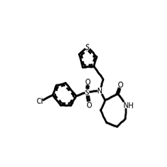 O=C1NCCCCC1N(Cc1ccsc1)S(=O)(=O)c1ccc(Cl)cc1